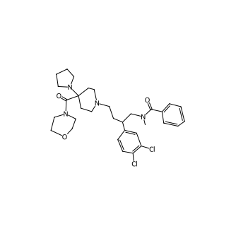 CN(CC(CCN1CCC(C(=O)N2CCOCC2)(N2CCCC2)CC1)c1ccc(Cl)c(Cl)c1)C(=O)c1ccccc1